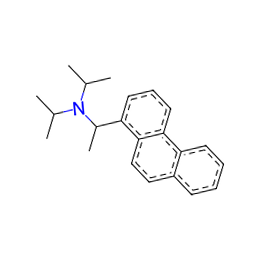 CC(C)N(C(C)C)C(C)c1cccc2c1ccc1ccccc12